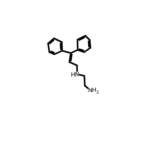 NCCNCC=C(c1ccccc1)c1ccccc1